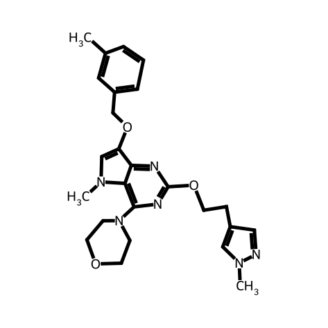 Cc1cccc(COc2cn(C)c3c(N4CCOCC4)nc(OCCc4cnn(C)c4)nc23)c1